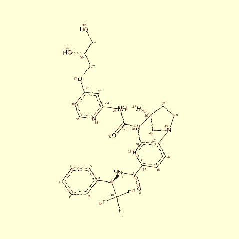 O=C(N[C@H](c1ccccc1)C(F)(F)F)c1ccc2c(n1)N(C(=O)Nc1cc(OC[C@H](O)CO)ccn1)[C@H]1CCN2C1